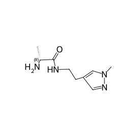 C[C@@H](N)C(=O)NCCc1cnn(C)c1